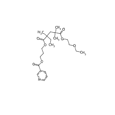 CCOCCOC(=O)C(C)(C)CC(C)(CC)C(=O)OCCCOC(=O)c1cccnc1